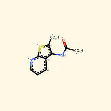 O=C(O)C(=O)Nc1c(C(=O)O)sc2ncccc12